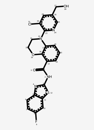 O=C(Nc1nc2ccc(F)cc2s1)c1cccc2c1OCCN2c1ncc(CO)cc1Cl